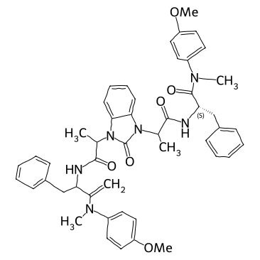 C=C(C(Cc1ccccc1)NC(=O)C(C)n1c(=O)n(C(C)C(=O)N[C@@H](Cc2ccccc2)C(=O)N(C)c2ccc(OC)cc2)c2ccccc21)N(C)c1ccc(OC)cc1